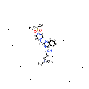 CC(C)S(=O)(=O)N1CCN(Cc2nc(NCCCN(C)C)c3ccccc3n2)CC1